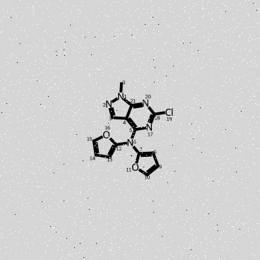 Cn1ncc2c(N(c3ccco3)c3ccco3)nc(Cl)nc21